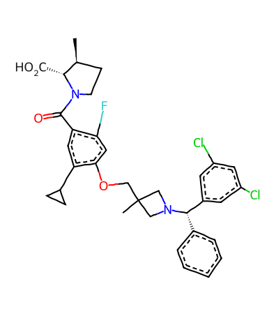 C[C@H]1CCN(C(=O)c2cc(C3CC3)c(OCC3(C)CN([C@@H](c4ccccc4)c4cc(Cl)cc(Cl)c4)C3)cc2F)[C@@H]1C(=O)O